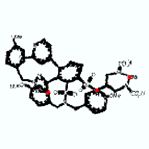 COc1ccc(CN(Cc2ccc(OC)cc2)S(=O)(=O)c2c(S(=O)(=O)NC(CN(C(=O)O)C(C)(C)C)CN(C(=O)O)C(C)(C)C)ccc(-c3ccnc(Cl)c3)c2-c2nnn(Cc3ccc(OC)cc3)n2)cc1